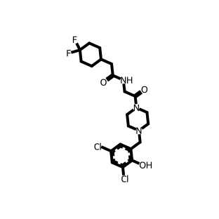 O=C(CC1CCC(F)(F)CC1)NCC(=O)N1CCN(Cc2cc(Cl)cc(Cl)c2O)CC1